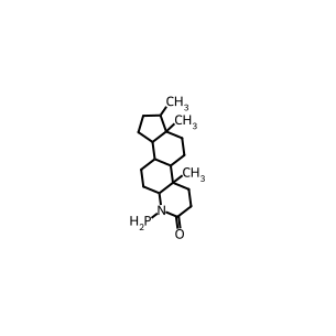 CC1CCC2C3CCC4N(P)C(=O)CCC4(C)C3CCC12C